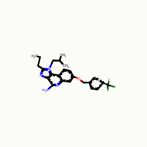 CCCc1nc2c(N)nc3cc(OCc4ccc(C(F)(F)F)cc4)ccc3c2n1CC(C)C